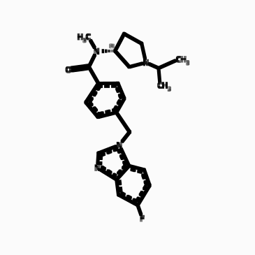 CC(C)N1CC[C@@H](N(C)C(=O)c2ccc(Cn3cnc4cc(F)ccc43)cc2)C1